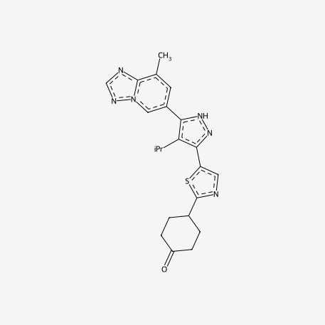 Cc1cc(-c2[nH]nc(-c3cnc(C4CCC(=O)CC4)s3)c2C(C)C)cn2ncnc12